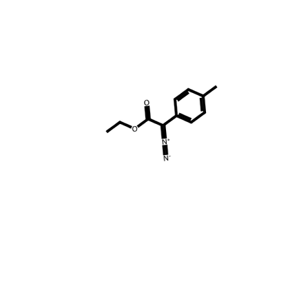 CCOC(=O)C(=[N+]=[N-])c1ccc(C)cc1